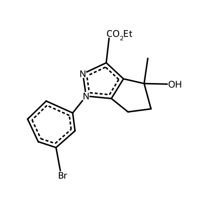 CCOC(=O)c1nn(-c2cccc(Br)c2)c2c1C(C)(O)CC2